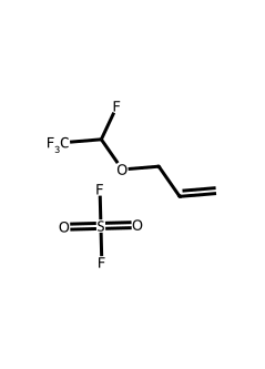 C=CCOC(F)C(F)(F)F.O=S(=O)(F)F